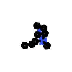 c1ccc(-c2ccc3cc(-c4nc(-c5ccccc5)nc(-c5ccccc5-c5ccccc5-n5c6ccccc6c6ccccc65)n4)ccc3c2)cc1